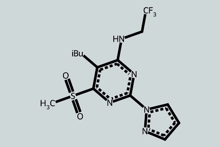 CCC(C)c1c(NCC(F)(F)F)nc(-n2cccn2)nc1S(C)(=O)=O